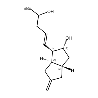 C=C1C[C@H]2C[C@@H](O)[C@H](C=CCC(O)CCCC)[C@@H]2C1